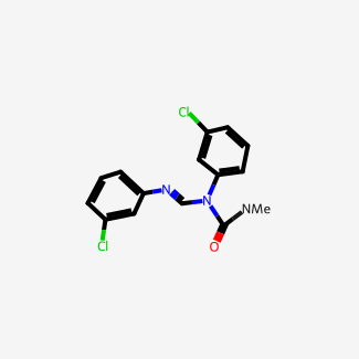 CNC(=O)N(C=Nc1cccc(Cl)c1)c1cccc(Cl)c1